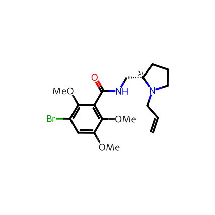 C=CCN1CCC[C@H]1CNC(=O)c1c(OC)c(Br)cc(OC)c1OC